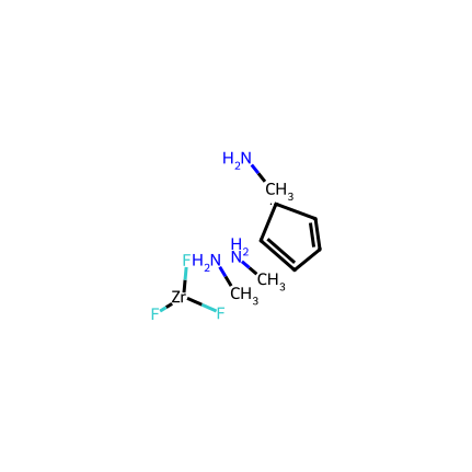 CN.CN.CN.[CH]1C=CC=C1.[F][Zr]([F])[F]